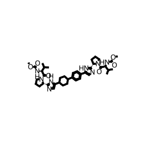 COC(=O)NC(C(=O)N1CCC[C@H]1c1ncc(-c2ccc(C3CCC(c4cnc([C@@H]5CCCN5C(=O)[C@@H](NC(=O)OC)C(C)C)[nH]4)CC3)cc2)[nH]1)C(C)C